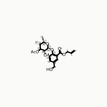 C=CCOC(=O)c1cc(CO)ccc1O[C@@H]1O[C@H](C)[C@@H](C)C(OC(C)=O)[C@H]1OC(C)=O